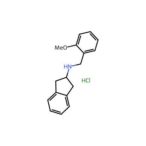 COc1ccccc1CNC1Cc2ccccc2C1.Cl